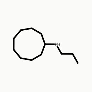 CCCPC1CCCCCCCC1